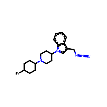 CC(C)C1CCC(N2CCC(n3cc(CN=[N+]=[N-])c4ccccc43)CC2)CC1